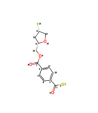 O=C(S)c1ccc(C(=O)OC[C@@H]2C[C@H](F)CO2)cc1